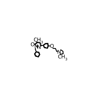 Cc1cc(-c2ccc(OCCCN3CCCC3C)cc2)nn(Cc2ccccc2)c1=O